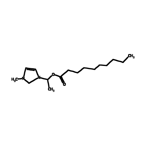 CCCCCCCCCC(=O)OC(C)N1C=CN(C)C1